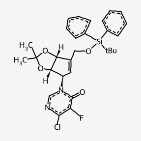 CC1(C)O[C@@H]2[C@H](O1)C(CO[Si](c1ccccc1)(c1ccccc1)C(C)(C)C)=C[C@H]2n1cnc(Cl)c(F)c1=O